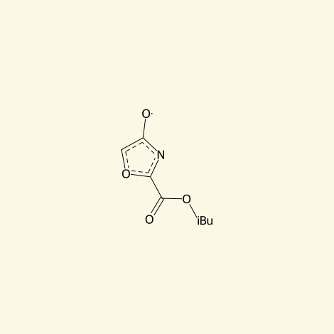 CCC(C)OC(=O)c1nc([O])co1